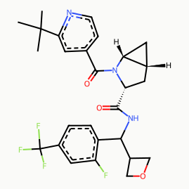 CC(C)(C)c1cc(C(=O)N2[C@@H](C(=O)NC(c3ccc(C(F)(F)F)cc3F)C3COC3)C[C@H]3C[C@H]32)ccn1